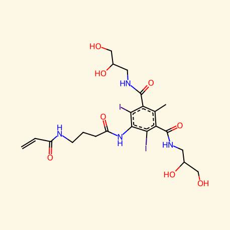 C=CC(=O)NCCCC(=O)Nc1c(I)c(C(=O)NCC(O)CO)c(C)c(C(=O)NCC(O)CO)c1I